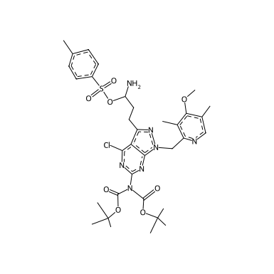 COc1c(C)cnc(Cn2nc(CCC(N)OS(=O)(=O)c3ccc(C)cc3)c3c(Cl)nc(N(C(=O)OC(C)(C)C)C(=O)OC(C)(C)C)nc32)c1C